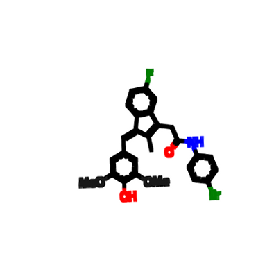 COc1cc(C=C2C(C)=C(CC(=O)Nc3ccc(Br)cc3)c3cc(F)ccc32)cc(OC)c1O